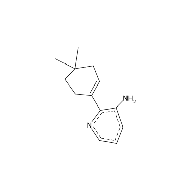 CC1(C)CC=C(c2ncccc2N)CC1